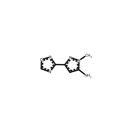 Cn1nc(-c2ncon2)cc1N